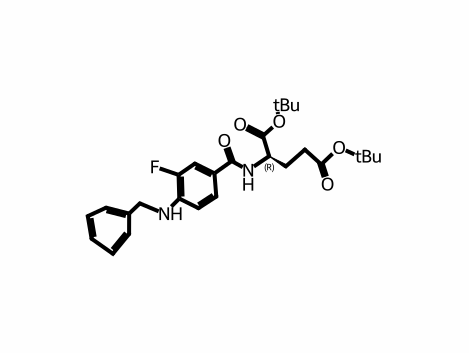 CC(C)(C)OC(=O)CC[C@@H](NC(=O)c1ccc(NCc2ccccc2)c(F)c1)C(=O)OC(C)(C)C